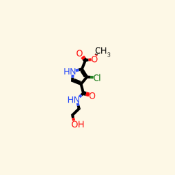 COC(=O)c1[nH]cc(C(=O)NCCO)c1Cl